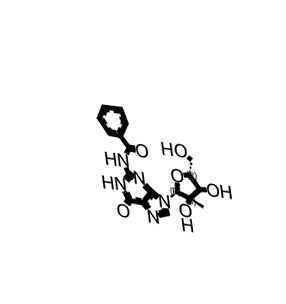 C[C@]1(O)C(O)[C@@H](CO)O[C@H]1n1cnc2c(=O)[nH]c(NC(=O)c3ccccc3)nc21